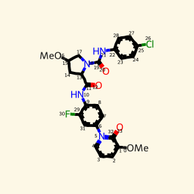 COc1cccn(-c2ccc(NC(=O)C3CC(OC)CN3C(=O)Nc3ccc(Cl)cc3)c(F)c2)c1=O